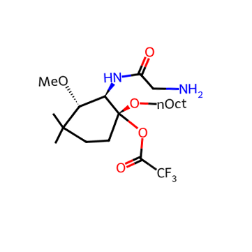 CCCCCCCCO[C@@]1(OC(=O)C(F)(F)F)CCC(C)(C)[C@H](OC)[C@H]1NC(=O)CN